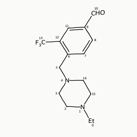 CCN1CCN(Cc2ccc(C=O)cc2C(F)(F)F)CC1